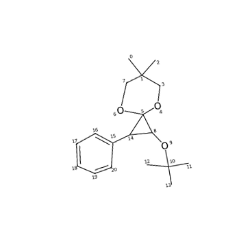 CC1(C)COC2(OC1)C(OC(C)(C)C)C2c1ccccc1